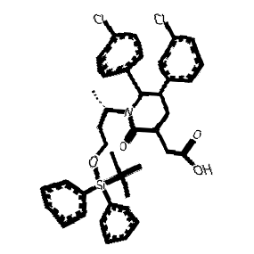 C[C@@H](CCO[Si](c1ccccc1)(c1ccccc1)C(C)(C)C)N1C(=O)C(CC(=O)O)CC(c2cccc(Cl)c2)C1c1ccc(Cl)cc1